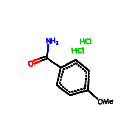 COc1ccc(C(N)=O)cc1.Cl.Cl